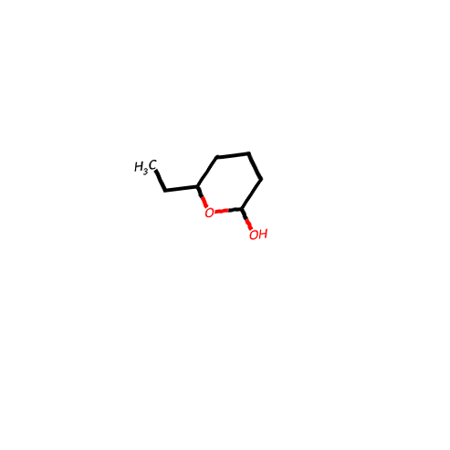 CCC1CCCC(O)O1